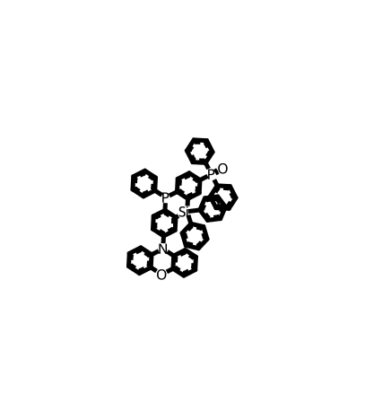 O=P(c1ccccc1)(c1ccccc1)c1ccc2c(c1)[Si](c1ccccc1)(c1ccccc1)c1cc(N3c4ccccc4Oc4ccccc43)ccc1P2c1ccccc1